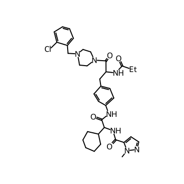 CCC(=O)NC(Cc1ccc(NC(=O)C(NC(=O)c2ccnn2C)C2CCCCC2)cc1)C(=O)N1CCN(Cc2ccccc2Cl)CC1